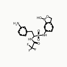 Nc1cccc(CC(NC(=O)C(F)(F)F)S(=O)(=O)Nc2ccc3c(c2)B(O)OC3)c1